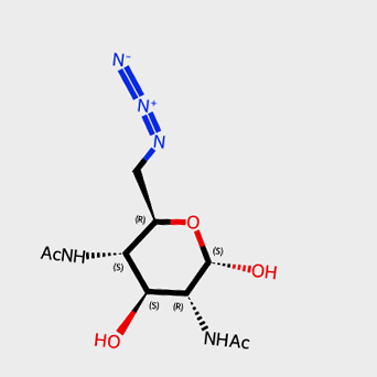 CC(=O)N[C@@H]1[C@@H](O)[C@H](NC(C)=O)[C@@H](CN=[N+]=[N-])O[C@@H]1O